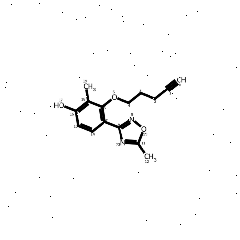 C#CCCCOc1c(-c2noc(C)n2)ccc(O)c1C